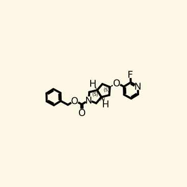 O=C(OCc1ccccc1)N1C[C@H]2C[C@H](Oc3cccnc3F)C[C@H]2C1